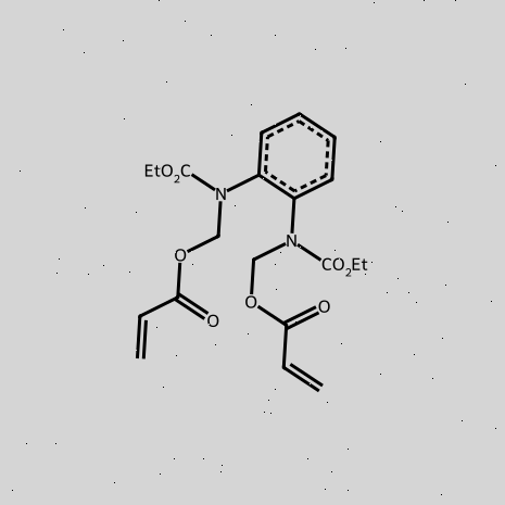 C=CC(=O)OCN(C(=O)OCC)c1ccccc1N(COC(=O)C=C)C(=O)OCC